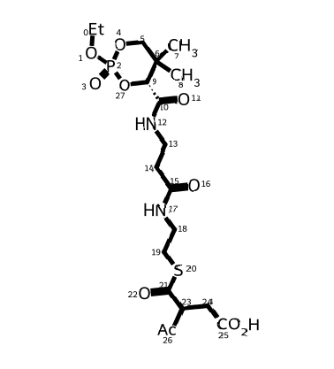 CCOP1(=O)OCC(C)(C)[C@H](C(=O)NCCC(=O)NCCSC(=O)C(CC(=O)O)C(C)=O)O1